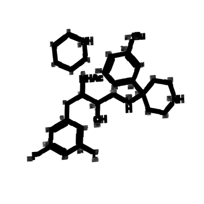 C1CCNCC1.CC(=O)NC(Cc1cc(F)cc(F)c1)C(O)CNC1(c2cccc(C(C)(C)C)c2)CCNCC1